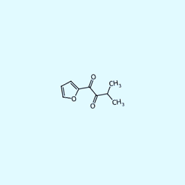 CC(C)C(=O)C(=O)c1ccco1